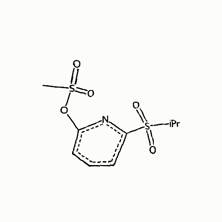 CC(C)S(=O)(=O)c1cccc(OS(C)(=O)=O)n1